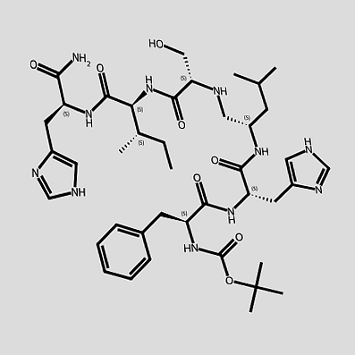 CC[C@H](C)[C@H](NC(=O)[C@H](CO)NC[C@H](CC(C)C)NC(=O)[C@H](Cc1c[nH]cn1)NC(=O)[C@H](Cc1ccccc1)NC(=O)OC(C)(C)C)C(=O)N[C@@H](Cc1c[nH]cn1)C(N)=O